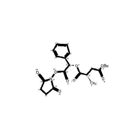 CC(=O)O[C@@H](CC(=O)OCC(C)C)C(=O)O[C@H](C(=O)ON1C(=O)CCC1=O)c1ccccc1